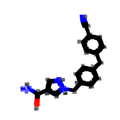 N#Cc1ccc(Cc2ccc(Cn3cc(C(N)=O)cn3)cc2)cc1